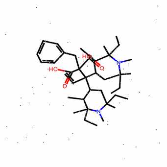 C=CC(C1CC(C)(CC)N(C)C(C)(CC)C1C)(C1CC(C)(CC)N(C)C(C)(CC)C1C)C(Cc1ccccc1)(C(=O)O)C(=O)O